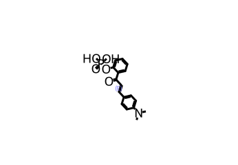 CN(C)c1ccc(/C=C/C(=O)c2ccccc2OP(=O)(O)O)cc1